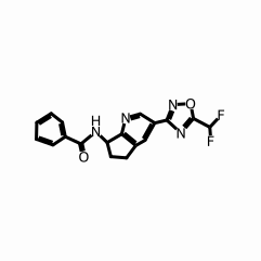 O=C(NC1CCc2cc(-c3noc(C(F)F)n3)cnc21)c1ccccc1